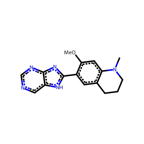 COc1cc2c(cc1-c1nc3ncncc3[nH]1)CCCN2C